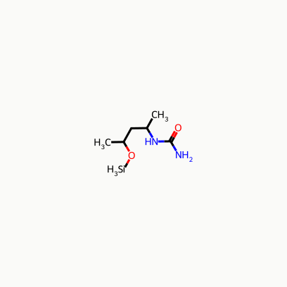 CC(CC(C)O[SiH3])NC(N)=O